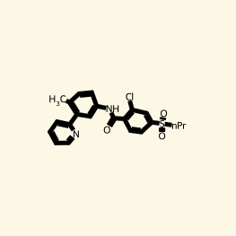 CCCS(=O)(=O)c1ccc(C(=O)Nc2ccc(C)c(-c3ccccn3)c2)c(Cl)c1